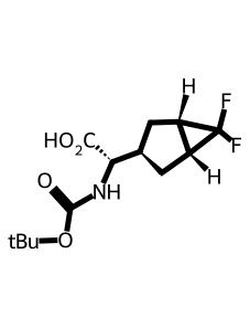 CC(C)(C)OC(=O)N[C@H](C(=O)O)[C@@H]1C[C@@H]2[C@H](C1)C2(F)F